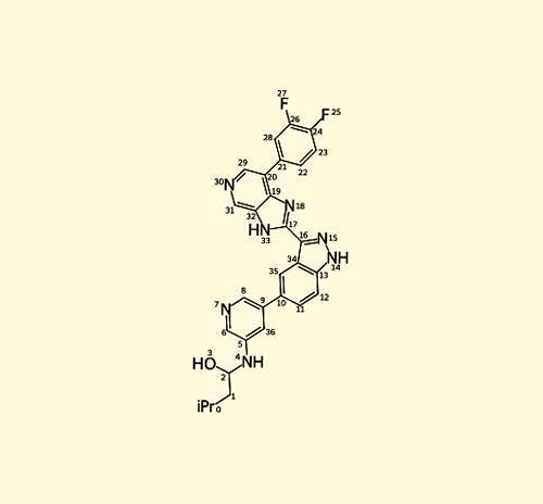 CC(C)CC(O)Nc1cncc(-c2ccc3[nH]nc(-c4nc5c(-c6ccc(F)c(F)c6)cncc5[nH]4)c3c2)c1